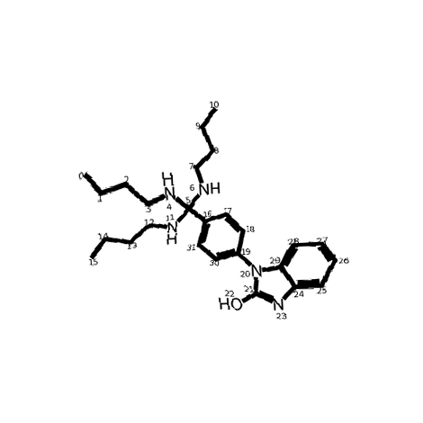 CCCCNC(NCCCC)(NCCCC)c1ccc(-n2c(O)nc3ccccc32)cc1